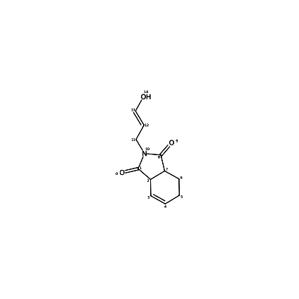 O=C1C2C=CCCC2C(=O)N1CC=CO